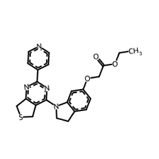 CCOC(=O)COc1ccc2c(c1)N(c1nc(-c3ccncc3)nc3c1CSC3)CC2